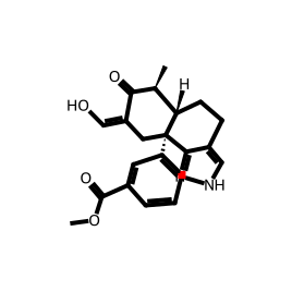 COC(=O)c1cccc([C@]23CC(=CO)C(=O)[C@@H](C)[C@@H]2CCc2c[nH]nc23)c1